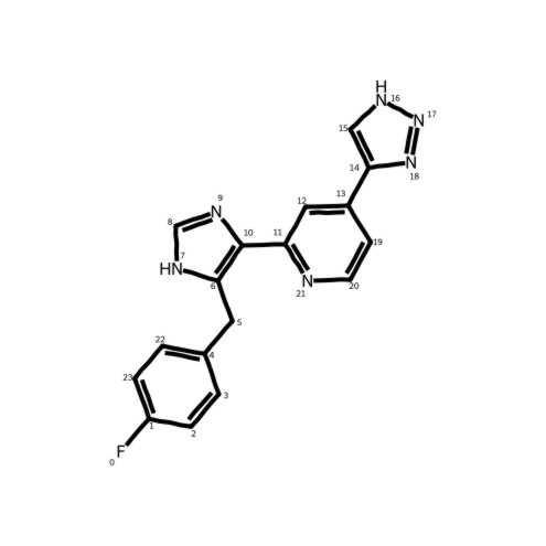 Fc1ccc(Cc2[nH]cnc2-c2cc(-c3c[nH]nn3)ccn2)cc1